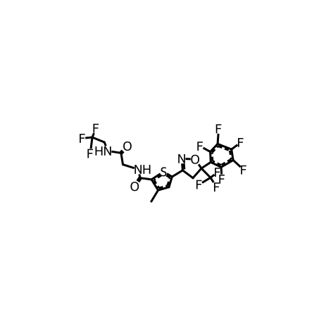 Cc1cc(C2=NOC(c3c(F)c(F)c(F)c(F)c3F)(C(F)(F)F)C2)sc1C(=O)NCC(=O)NCC(F)(F)F